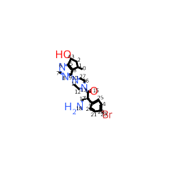 CC1C[C@H](O)c2ncnc(N3CCN(C(=O)[C@H](CN)c4ccc(Br)cc4)CC3)c21